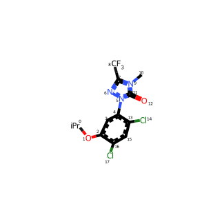 CC(C)Oc1cc(-n2nc(C(F)(F)F)n(C)c2=O)c(Cl)cc1Cl